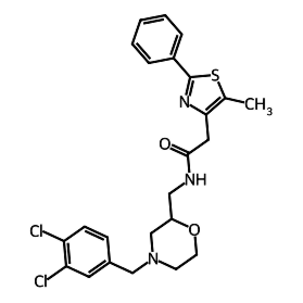 Cc1sc(-c2ccccc2)nc1CC(=O)NCC1CN(Cc2ccc(Cl)c(Cl)c2)CCO1